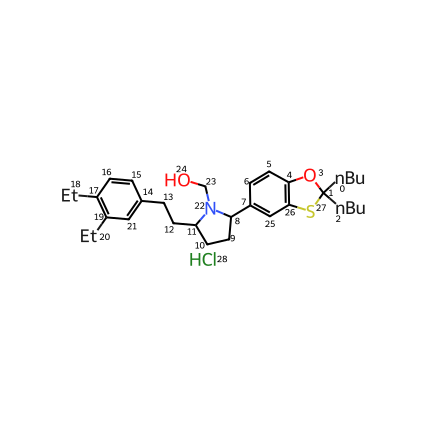 CCCCC1(CCCC)Oc2ccc(C3CCC(CCc4ccc(CC)c(CC)c4)N3CO)cc2S1.Cl